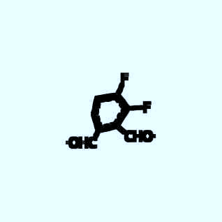 O=[C]c1ccc(F)c(F)c1[C]=O